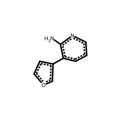 Nc1ncccc1-c1[c]occ1